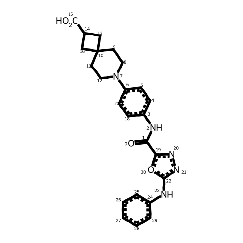 O=C(Nc1ccc(N2CCC3(CC2)CC(C(=O)O)C3)cc1)c1nnc(Nc2ccccc2)o1